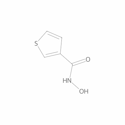 O=C(NO)c1ccsc1